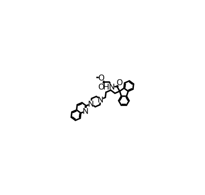 COC(=O)CNC(=O)C1(CCCCN2CCN(c3ccc4ccccc4n3)CC2)c2ccccc2-c2ccccc21